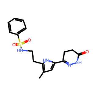 Cc1cc(C2=NNC(=O)CC2)[nH]c1CCNS(=O)(=O)c1ccccc1